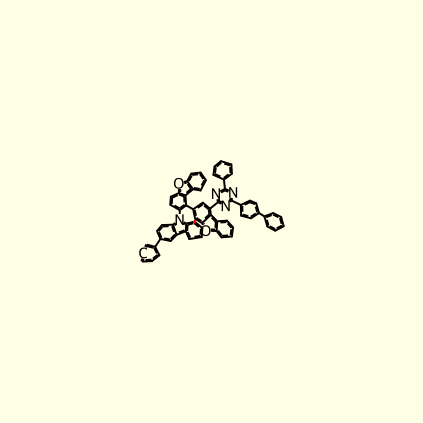 c1ccc(-c2ccc(-c3nc(-c4ccccc4)nc(-c4cc(-c5c(-n6c7ccccc7c7cc(-c8ccccc8)ccc76)ccc6oc7ccccc7c56)cc5oc6ccccc6c45)n3)cc2)cc1